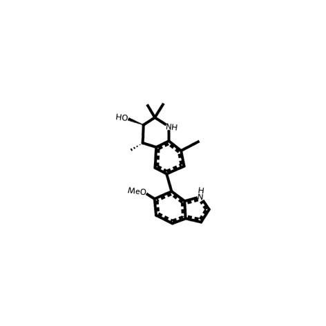 COc1ccc2cc[nH]c2c1-c1cc(C)c2c(c1)[C@H](C)[C@@H](O)C(C)(C)N2